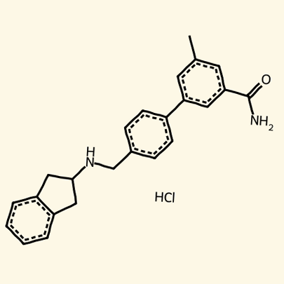 Cc1cc(C(N)=O)cc(-c2ccc(CNC3Cc4ccccc4C3)cc2)c1.Cl